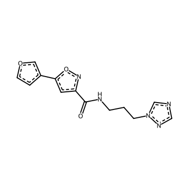 O=C(NCCCn1cncn1)c1cc(-c2ccoc2)on1